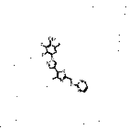 Cc1nc(COc2ncccn2)sc1-c1cnn(-c2cc(F)c(O)c(F)c2F)c1